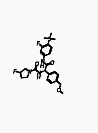 COCc1ccc([C@@H](NC(=O)N2CC[C@@H](F)C2)C(=O)Nc2ccc(S(C)(C)C)c(F)c2)cc1